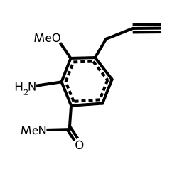 C#CCc1ccc(C(=O)NC)c(N)c1OC